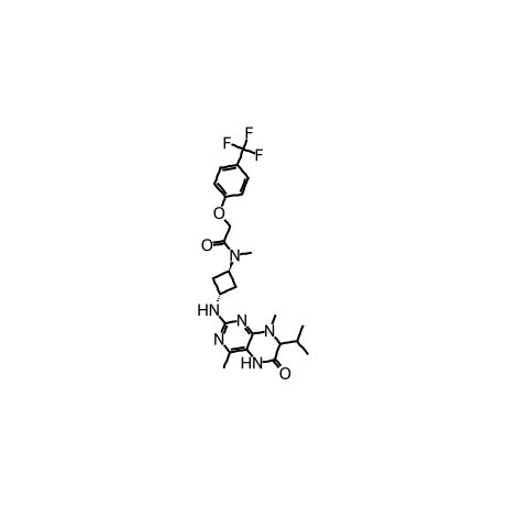 Cc1nc(N[C@H]2C[C@H](N(C)C(=O)COc3ccc(C(F)(F)F)cc3)C2)nc2c1NC(=O)C(C(C)C)N2C